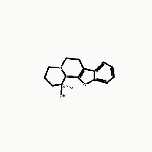 C[C@]1(O)CCCN2CCc3c(oc4ccccc34)C21